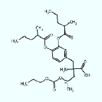 CCCOC(=O)O[C@@H](C)CC(N)(Cc1ccc(OC(=O)C(C)CCC)c(OC(=O)C(C)CCC)c1)C(=O)O